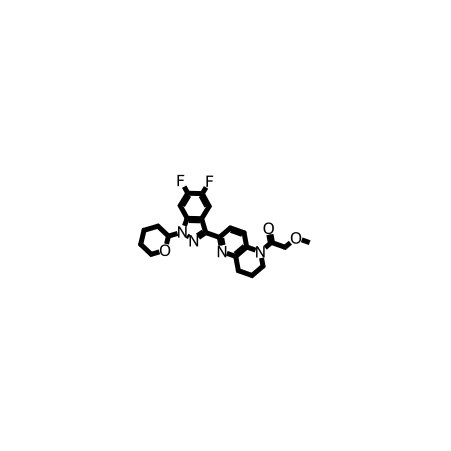 COCC(=O)N1CCCc2nc(-c3nn(C4CCCCO4)c4cc(F)c(F)cc34)ccc21